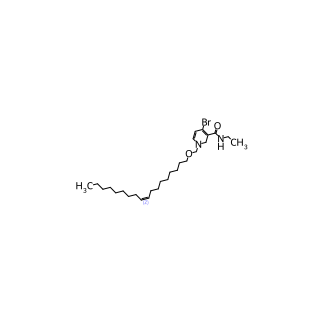 CCCCCCCC/C=C\CCCCCCCCOCN1C=CC(Br)=C(C(=O)NCC)C1